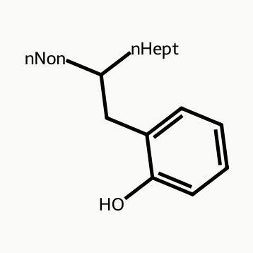 CCCCCCCCCC(CCCCCCC)Cc1ccccc1O